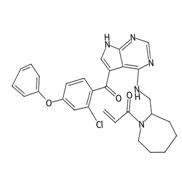 C=CC(=O)N1CCCCCC1CNc1ncnc2[nH]cc(C(=O)c3ccc(Oc4ccccc4)cc3Cl)c12